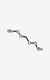 CC(C)(C)OOCOOC(C)(C)C